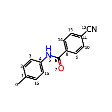 Cc1ccc(NC(=O)c2ccc(C#N)cc2)cc1